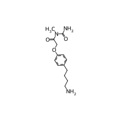 CN(C(N)=O)C(=O)COc1ccc(CCCCN)cc1